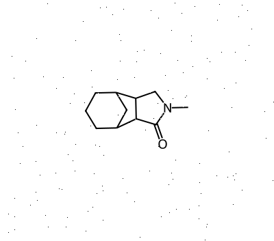 CN1CC2C3CCCC(C3)C2C1=O